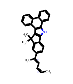 C/C=C\C=C(/C)c1ccc2c(c1)C(C)(C)c1c-2[nH]c2c3ccccc3c3ccccc3c12